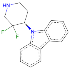 FC1(F)CNCC[C@H]1n1c2ccccc2c2ccccc21